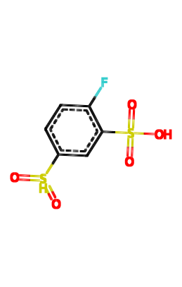 O=[SH](=O)c1ccc(F)c(S(=O)(=O)O)c1